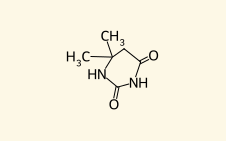 CC1(C)CC(=O)NC(=O)N1